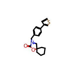 O=C1OC2(CCCCC2)CN1Cc1ccc(-c2ccsc2)cc1